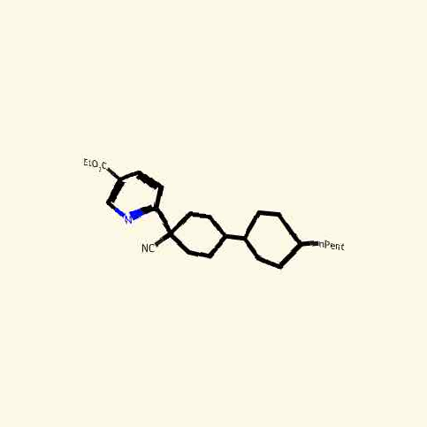 CCCCCC1CCC(C2CCC(C#N)(c3ccc(C(=O)OCC)cn3)CC2)CC1